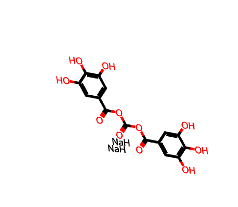 O=C(OC(=O)c1cc(O)c(O)c(O)c1)OC(=O)c1cc(O)c(O)c(O)c1.[NaH].[NaH]